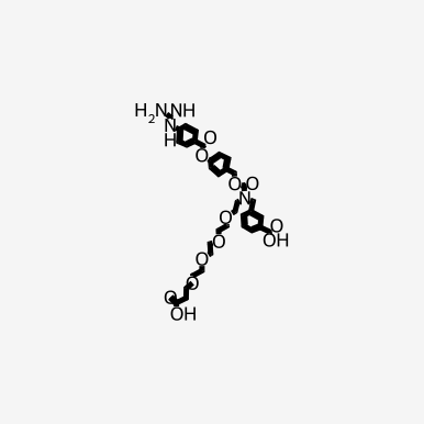 N=C(N)Nc1ccc(C(=O)Oc2ccc(COC(=O)N(CCOCCOCCOCCOCCC(=O)O)Cc3cccc(C(=O)O)c3)cc2)cc1